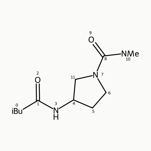 CCC(C)C(=O)NC1CCN(C(=O)NC)C1